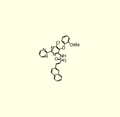 COc1ccccc1Oc1c(Cl)nc(-c2ncccn2)nc1NS(=O)(=O)C=Cc1ccc2ccccc2c1